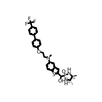 C[C@@H]1NP(=O)(C(O)c2cc3cc(N(C)CCOc4ccc(-c5ccc(C(F)(F)F)cc5)cc4)ccc3s2)N[C@H]1C